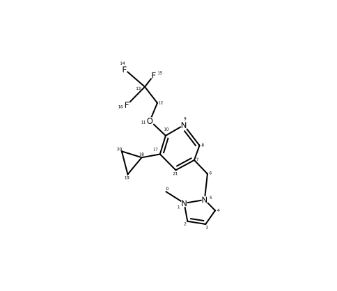 CN1C=CCN1Cc1cnc(OCC(F)(F)F)c(C2CC2)c1